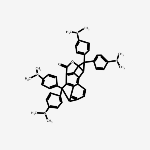 CN(C)c1ccc(C2(c3ccc(N(C)C)cc3)c3c4c5c(c6ccc7c(c36)C72)C2C5(OC4=O)C2(c2ccc(N(C)C)cc2)c2ccc(N(C)C)cc2)cc1